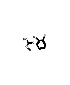 Brc1ccccc1Br.COC(=O)O